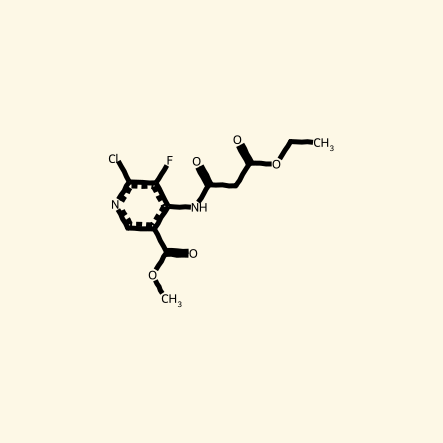 CCOC(=O)CC(=O)Nc1c(C(=O)OC)cnc(Cl)c1F